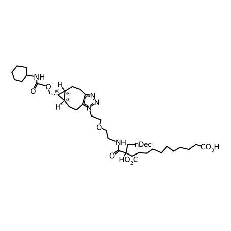 CCCCCCCCCCCC(CCCCCCCCCCC(=O)O)(C(=O)O)C(=O)NCCOCCn1nnc2c1CC[C@H]1[C@@H](CC2)[C@H]1COC(=O)NC1CCCCC1